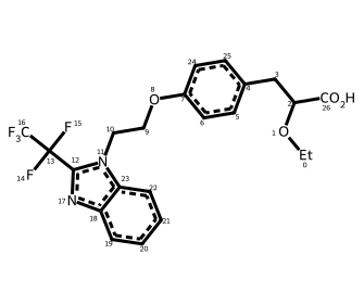 CCOC(Cc1ccc(OCCn2c(C(F)(F)C(F)(F)F)nc3ccccc32)cc1)C(=O)O